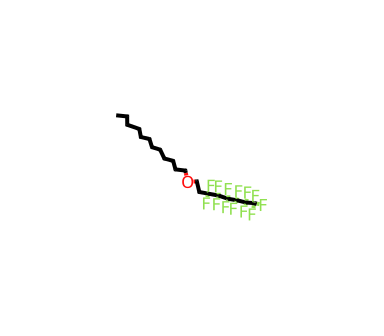 CCCCCCCCCCCCOCCC(F)(F)C(F)(F)C(F)(F)C(F)(F)C(F)(F)C(F)(F)F